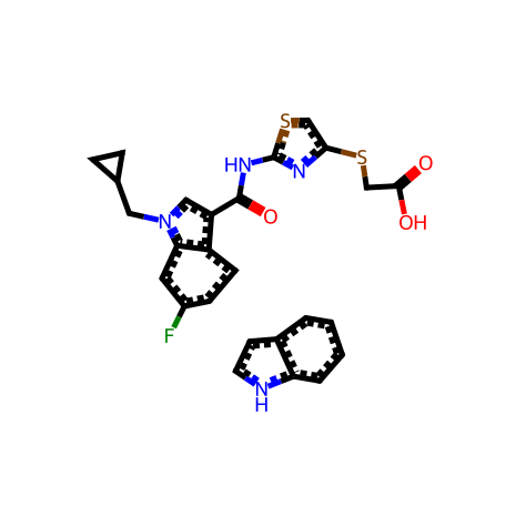 O=C(O)CSc1csc(NC(=O)c2cn(CC3CC3)c3cc(F)ccc23)n1.c1ccc2[nH]ccc2c1